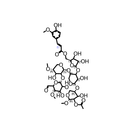 COc1cc(/C=C/C(=O)OC[C@@H]2O[C@@H](OC3[C@H](O[C@@H]4OC[C@@H](OC)C(O)C4O[C@H]4OC(C=O)[C@@H](OC)[C@H](O)C4O)CO[C@@H](O[C@@H]4CO[C@@H](OC)C(OC(C)=O)C4O)[C@H]3O)[C@@H](O)C2O)ccc1O